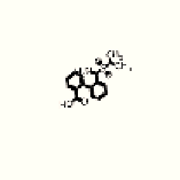 CC(C)S(=O)(=O)C(N)c1ccccc1-c1ccccc1C(=O)O